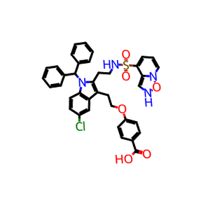 O=C(O)c1ccc(OCCc2c(CCNS(=O)(=O)C3=CC=CN4ONC=C34)n(C(c3ccccc3)c3ccccc3)c3ccc(Cl)cc23)cc1